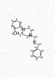 Cc1ccccc1N1CCN(CSCc2ccccc2)CC1